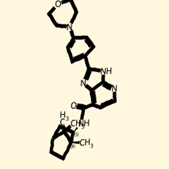 CC1(C)C2CC[C@@]1(C)[C@@H](NC(=O)c1ccnc3[nH]c(-c4ccc(N5CCOCC5)cc4)nc13)C2